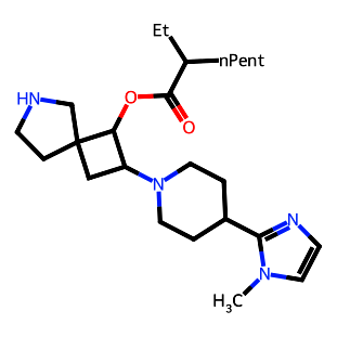 CCCCCC(CC)C(=O)OC1C(N2CCC(c3nccn3C)CC2)CC12CCNC2